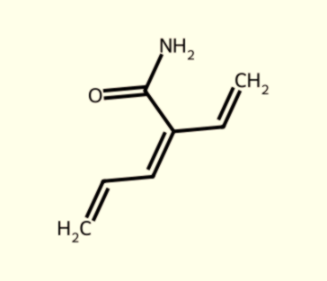 C=CC=C(C=C)C(N)=O